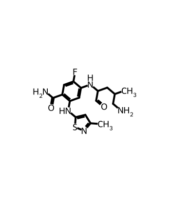 Cc1cc(Nc2cc(NC(C=O)CC(C)CN)c(F)cc2C(N)=O)sn1